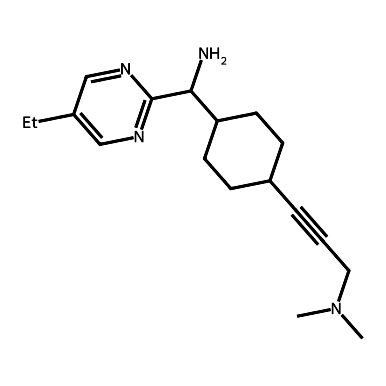 CCc1cnc(C(N)C2CCC(C#CCN(C)C)CC2)nc1